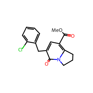 COC(=O)c1cc(Cc2ccccc2Cl)c(=O)n2c1CCC2